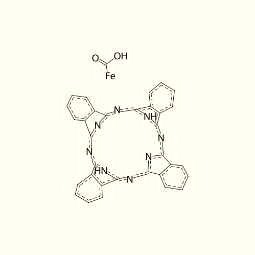 O=[C](O)[Fe].c1ccc2c(c1)-c1nc-2nc2[nH]c(nc3nc(nc4[nH]c(n1)c1ccccc41)-c1ccccc1-3)c1ccccc21